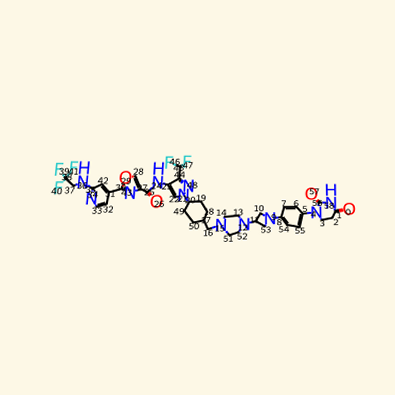 O=C1CCN(c2ccc(N3CC(N4CCN(CC5CCC(n6cc(NC(=O)c7coc(-c8ccnc(NCC(F)(F)F)c8)n7)c(C(F)F)n6)CC5)CC4)C3)cc2)C(=O)N1